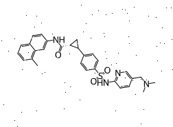 Cc1cccc2ccc(NC(=O)[C@@H]3CC3c3ccc(S(=O)(=O)Nc4ccc(CN(C)C)cn4)cc3)cc12